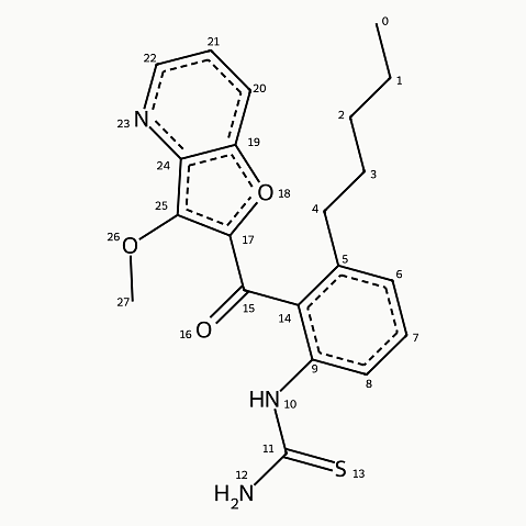 CCCCCc1cccc(NC(N)=S)c1C(=O)c1oc2cccnc2c1OC